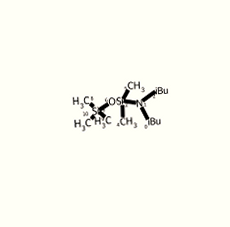 CCC(C)N(C(C)CC)[Si](C)(C)O[Si](C)(C)C